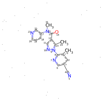 Cc1cc(C#N)cnc1-n1ncc(C(=O)N(C)c2cccnc2)c1C